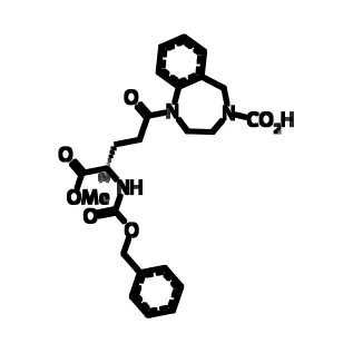 COC(=O)[C@H](CCC(=O)N1CCN(C(=O)O)Cc2ccccc21)NC(=O)OCc1ccccc1